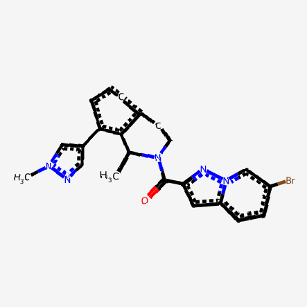 CC1c2c(cccc2-c2cnn(C)c2)CCN1C(=O)c1cc2ccc(Br)cn2n1